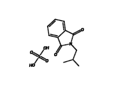 CC(C)CN1C(=O)c2ccccc2C1=O.O=S(=O)(O)O